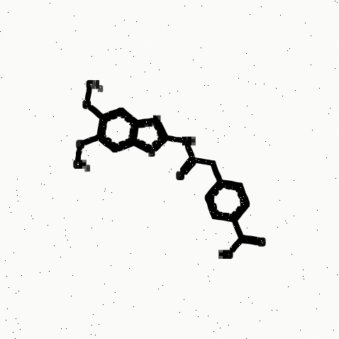 COc1cc2nc(NC(=O)Cc3ccc(C(=O)O)cc3)sc2cc1OC